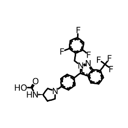 O=C(O)N[C@@H]1CCN(c2ccc(-c3c4cccc(C(F)(F)F)c4nn3Cc3c(F)cc(F)cc3F)cc2)C1